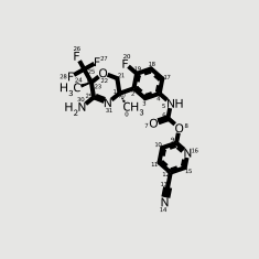 C[C@@]1(c2cc(NC(=O)Oc3ccc(C#N)cn3)ccc2F)CO[C@@](C)(C(F)(F)F)C(N)=N1